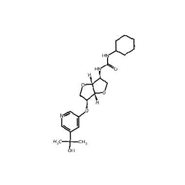 CC(C)(O)c1cncc(O[C@H]2CO[C@H]3[C@@H]2OC[C@@H]3NC(=O)NC2CCCCC2)c1